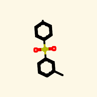 Cc1cccc(S(=O)(=O)c2cc[c]cc2)c1